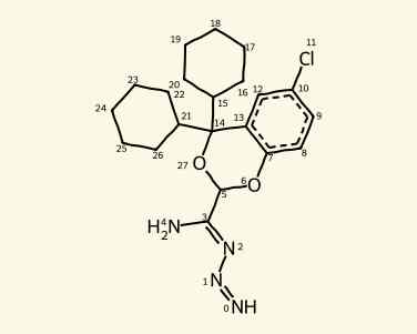 N=N/N=C(\N)C1Oc2ccc(Cl)cc2C(C2CCCCC2)(C2CCCCC2)O1